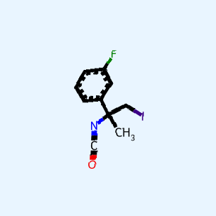 CC(CI)(N=C=O)c1cccc(F)c1